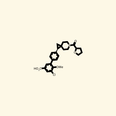 COc1c(Cl)cc(C(=O)O)cc1-c1ccc([C@H]2CC23CCN(C(=O)C2CCCO2)CC3)cc1